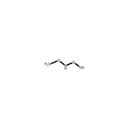 OONO[SiH3]